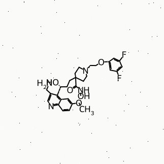 COc1ccc2ncc(CN)c([C@H](O)CCC3(C(=O)NO)CCN(CCOc4cc(F)cc(F)c4)CC3)c2c1